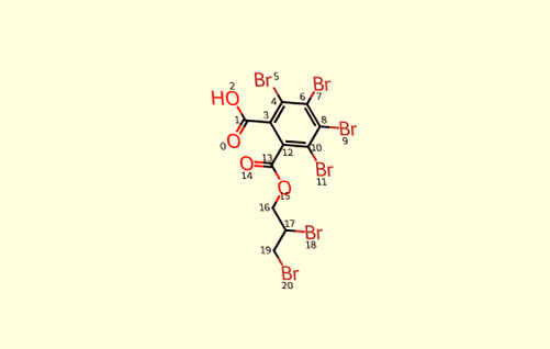 O=C(O)c1c(Br)c(Br)c(Br)c(Br)c1C(=O)OCC(Br)CBr